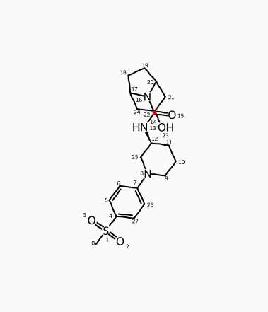 CS(=O)(=O)c1ccc(N2CCC[C@H](NC(=O)N3C4CCC3CC(O)C4)C2)cc1